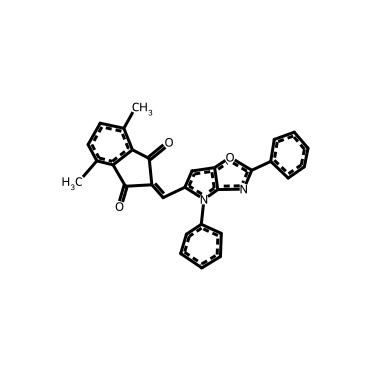 Cc1ccc(C)c2c1C(=O)C(=Cc1cc3oc(-c4ccccc4)nc3n1-c1ccccc1)C2=O